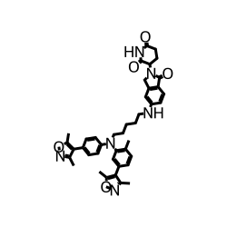 Cc1ccc(-c2c(C)noc2C)cc1N(CCCCCNc1ccc2c(c1)CN(C1CCC(=O)NC1=O)C2=O)c1ccc(-c2c(C)noc2C)cc1